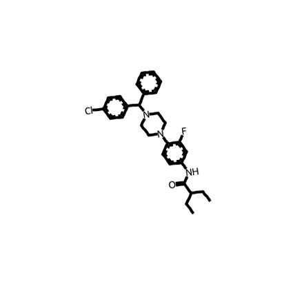 CCC(CC)C(=O)Nc1ccc(N2CCN(C(c3ccccc3)c3ccc(Cl)cc3)CC2)c(F)c1